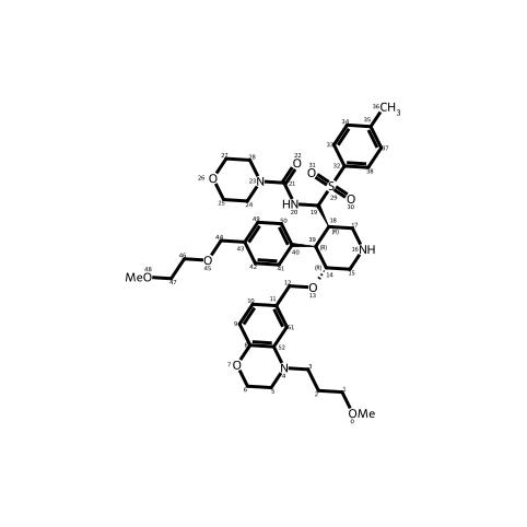 COCCCN1CCOc2ccc(CO[C@H]3CNC[C@H](C(NC(=O)N4CCOCC4)S(=O)(=O)c4ccc(C)cc4)[C@@H]3c3ccc(COCCOC)cc3)cc21